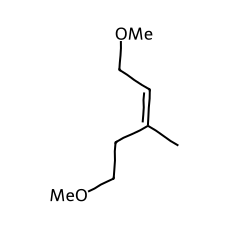 COC/C=C(/C)CCOC